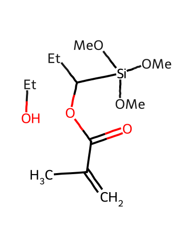 C=C(C)C(=O)OC(CC)[Si](OC)(OC)OC.CCO